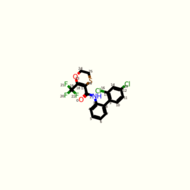 O=C(Nc1ccccc1-c1ccc(Cl)cc1Cl)C1=C(C(F)(F)F)OCCS1